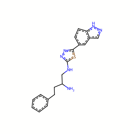 NC(CCc1ccccc1)CNc1nnc(-c2ccc3[nH]ncc3c2)s1